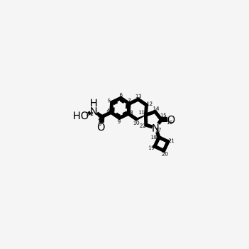 O=C(NO)c1ccc2c(c1)C[C@@]1(CC2)CC(=O)N(C2CCC2)C1